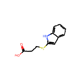 O=C(O)CCSc1cc2ccccc2[nH]1